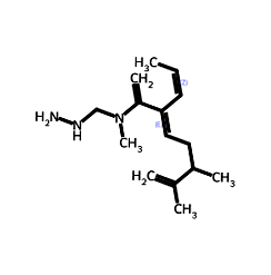 C=C(C)C(C)C/C=C(\C=C/C)C(=C)N(C)CNN